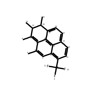 CC1=c2c(C)cc3c(C(F)(F)F)ccc4ccc(c2c43)C(C)C1C